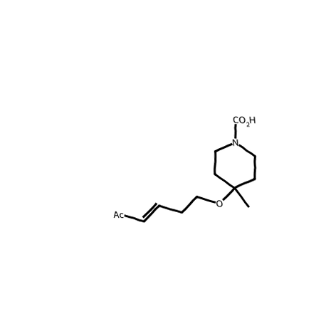 CC(=O)/C=C/CCOC1(C)CCN(C(=O)O)CC1